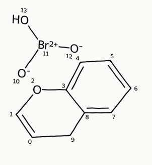 C1=COc2ccccc2C1.[O-][Br+2]([O-])O